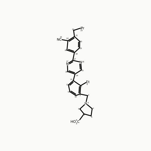 CCc1c(CN2CCC(C(=O)O)C2)cccc1-c1cnc(-c2ccc(CC(C)C)c(C#N)c2)nc1